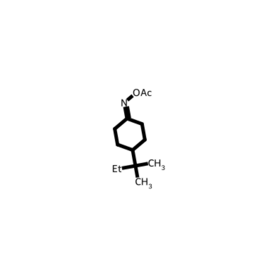 CCC(C)(C)C1CCC(=NOC(C)=O)CC1